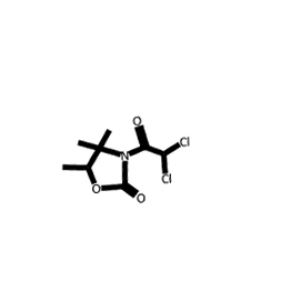 CC1OC(=O)N(C(=O)C(Cl)Cl)C1(C)C